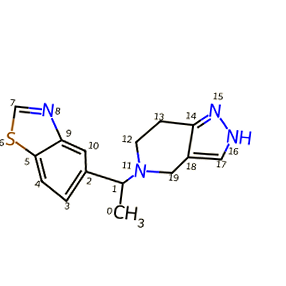 CC(c1ccc2scnc2c1)N1CCc2n[nH]cc2C1